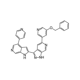 c1ccc(COc2cncc(-c3cc4c(-c5cc6c(-c7ccncc7)cncc6[nH]5)n[nH]c4cn3)c2)cc1